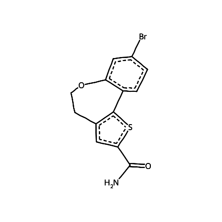 NC(=O)c1cc2c(s1)-c1ccc(Br)cc1OCC2